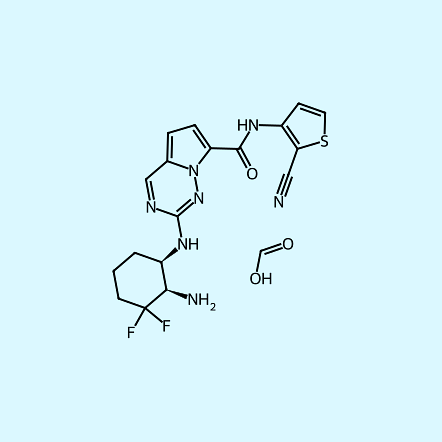 N#Cc1sccc1NC(=O)c1ccc2cnc(N[C@@H]3CCCC(F)(F)[C@@H]3N)nn12.O=CO